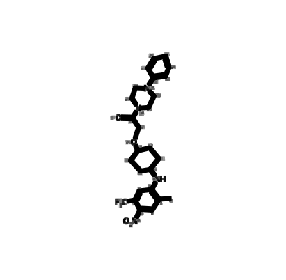 Cc1cc([N+](=O)[O-])c(C(F)(F)F)cc1NC1CCC(OCC(=O)N2CCN(c3ccccc3)CC2)CC1